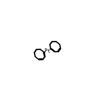 C1=C\CCCC\[C]([Pt]/[C]2=C/C=C\CCCC2)=C/1